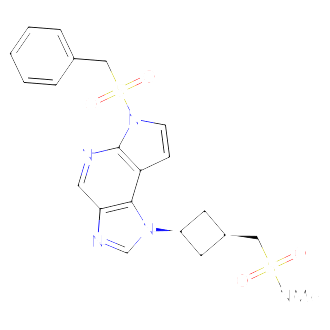 CNS(=O)(=O)C[C@H]1C[C@@H](n2cnc3cnc4c(ccn4S(=O)(=O)Cc4ccccc4)c32)C1